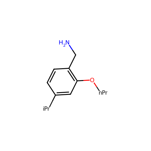 CCCOc1cc(C(C)C)ccc1CN